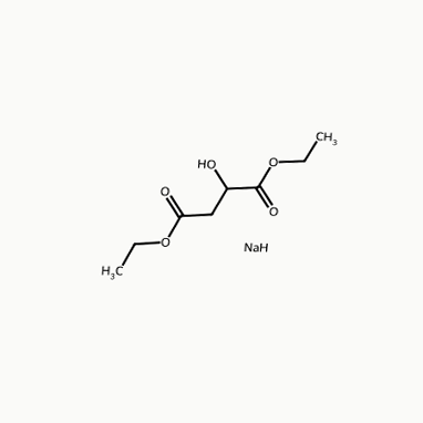 CCOC(=O)CC(O)C(=O)OCC.[NaH]